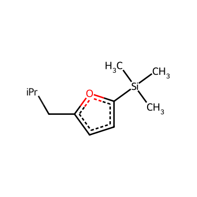 CC(C)Cc1ccc([Si](C)(C)C)o1